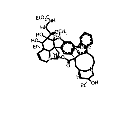 CCOC(=O)NNC(=O)[C@@]1(O)[C@H](O)[C@]2(CC)C=CCN3CC[C@@]4(c5cc([C@@]6(C(=O)OC)C[C@@H]7CN(CCc8c6[nH]c6ccccc86)C[C@](O)(CC)C7)c(OC)cc5N(C)[C@@H]14)[C@@H]32